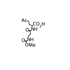 COC(=O)NCCC(=O)N[C@@H](CCC(C)=O)C(=O)O